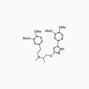 COc1ccc(CCN(C)C(C)COc2cc(-c3ccc(OC)c(OC)c3)[nH]n2)cc1OC